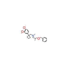 COc1ccc(C2(CN(C)CC(C)COCc3ccccc3)CCC2)cc1OC